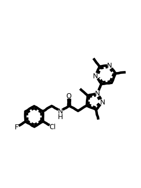 Cc1cc(-n2nc(C)c(CC(=O)NCc3ccc(F)cc3Cl)c2C)nc(C)n1